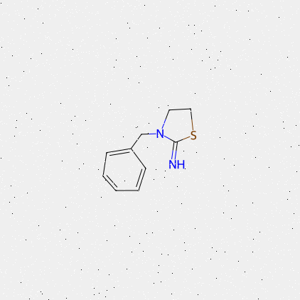 N=C1SCCN1Cc1ccccc1